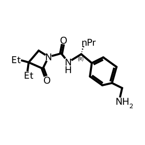 CCC[C@@H](NC(=O)N1CC(CC)(CC)C1=O)c1ccc(CN)cc1